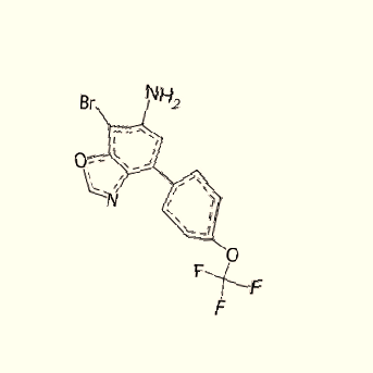 Nc1cc(-c2ccc(OC(F)(F)F)cc2)c2ncoc2c1Br